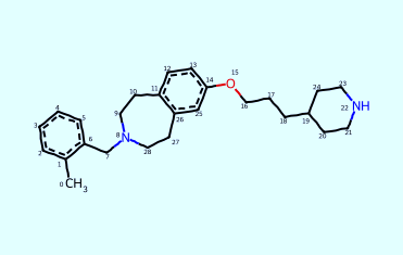 Cc1ccccc1CN1CCc2ccc(OCCCC3CCNCC3)cc2CC1